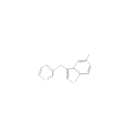 Clc1ccc2[nH]cc(Cc3cccnc3)c2c1